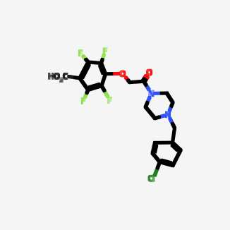 O=C(O)c1c(F)c(F)c(OCC(=O)N2CCN(Cc3ccc(Cl)cc3)CC2)c(F)c1F